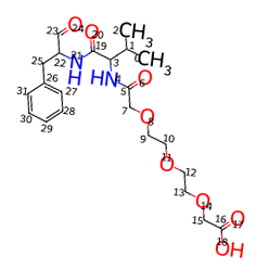 CC(C)C(NC(=O)COCCOCCOCC(=O)O)C(=O)NC(C=O)Cc1ccccc1